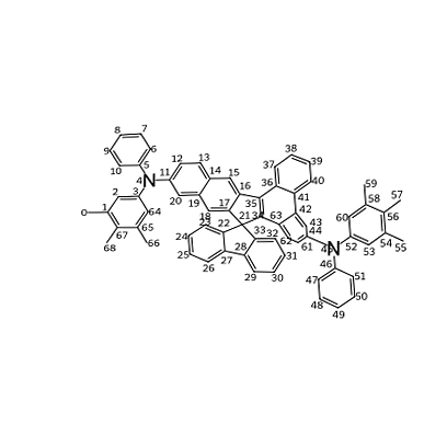 Cc1cc(N(c2ccccc2)c2ccc3cc4c(cc3c2)C2(c3ccccc3-c3ccccc32)c2c-4c3ccccc3c3cc(N(c4ccccc4)c4cc(C)c(C)c(C)c4)ccc23)cc(C)c1C